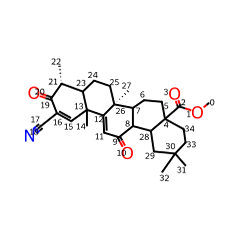 COC(=O)C12CCC3C(C(=O)C=C4C5(C)C=C(C#N)C(=O)[C@H](C)C5CC[C@]43C)C1CC(C)(C)CC2